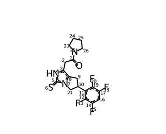 O=C(Cc1[nH]c(=S)n2c1CC(c1c(F)c(F)cc(F)c1F)C2)N1CCCC1